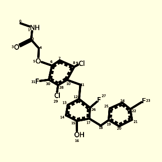 CNC(=O)COc1cc(Cl)c(Cc2ccc(O)c(Cc3ccc(F)cc3)c2F)c(Cl)c1F